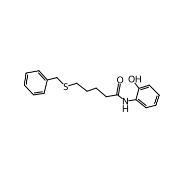 O=C(CCCCSCc1ccccc1)Nc1ccccc1O